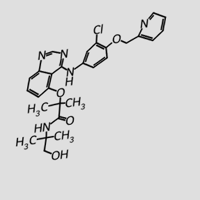 CC(C)(CO)NC(=O)C(C)(C)Oc1cccc2ncnc(Nc3ccc(OCc4ccccn4)c(Cl)c3)c12